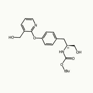 CC(C)(C)OC(=O)N[C@H](CO)Cc1ccc(Oc2ncccc2CO)cc1